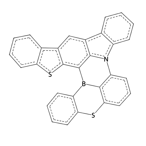 c1ccc2c(c1)Sc1cccc3c1B2c1c2sc4ccccc4c2cc2c4ccccc4n-3c12